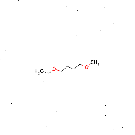 [CH2]OCCCCOCC